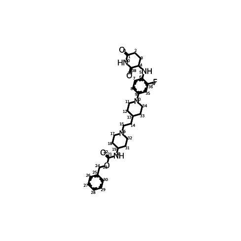 O=C1CCC(Nc2ccc(N3CCC(CCN4CCC(NC(=O)OCc5ccccc5)CC4)CC3)cc2F)C(=O)N1